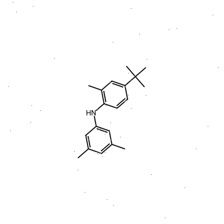 Cc1cc(C)cc(Nc2ccc(C(C)(C)C)cc2C)c1